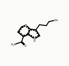 NC(=O)c1ccnc2c(C[CH]CO)c[nH]c12